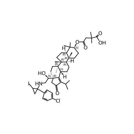 CC(C)C1=C2[C@H]3CC[C@@H]4[C@@]5(C)CC[C@H](OC(=O)CC(C)(C)C(=O)O)C(C)(C)[C@@H]5CC[C@@]4(C)[C@]3(C)CC[C@@]2([C@H](O)CNC2(c3ccc(Cl)cc3)CC2I)CC1=O